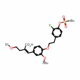 CCCCOc1cc(/C=C(/CCOCC)C(=O)O)ccc1OCCc1ccc(OS(=O)(=O)CCCC)c(F)c1